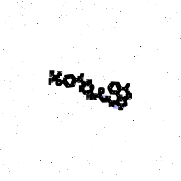 CC(C)c1ccccc1N1C(=O)CS/C1=N/N=C/C(=O)Nc1cnc(N(C)c2ccc(OC(F)(F)F)cc2)nc1